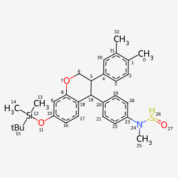 Cc1ccc(C2COc3cc(O[Si](C)(C)C(C)(C)C)ccc3C2c2ccc(N(C)[SH]=O)cc2)cc1C